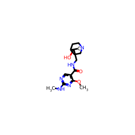 CNc1ncc(C(=O)NCC2(O)CN3CCC2CC3)c(OC)n1